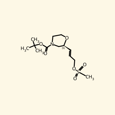 CC(C)(C)OC(=O)N1CCO[C@@H](C=CCOS(C)(=O)=O)C1